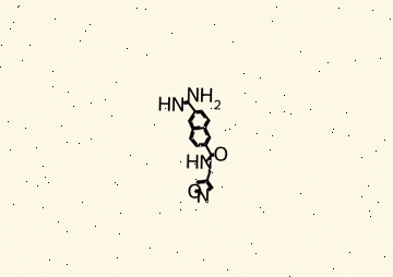 N=C(N)c1ccc2cc(C(=O)NCc3cnoc3)ccc2c1